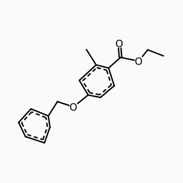 CCOC(=O)c1ccc(OCc2ccccc2)cc1C